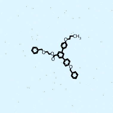 CCCOc1ccc(-c2cc(C(=O)OCCOCc3ccccc3)cc(-c3ccc(OCc4ccccc4)cc3)c2)cc1